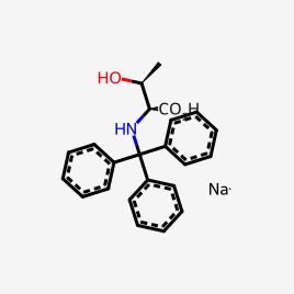 C[C@H](O)[C@H](NC(c1ccccc1)(c1ccccc1)c1ccccc1)C(=O)O.[Na]